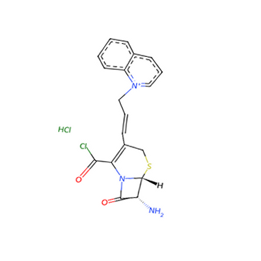 Cl.N[C@@H]1C(=O)N2C(C(=O)Cl)=C(/C=C/C[n+]3cccc4ccccc43)CS[C@H]12